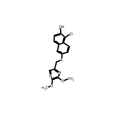 COc1ncc(CSc2ccc3c(Cl)c(O)ccc3c2)nc1OC